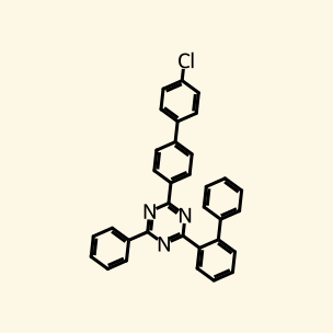 Clc1ccc(-c2ccc(-c3nc(-c4ccccc4)nc(-c4ccccc4-c4ccccc4)n3)cc2)cc1